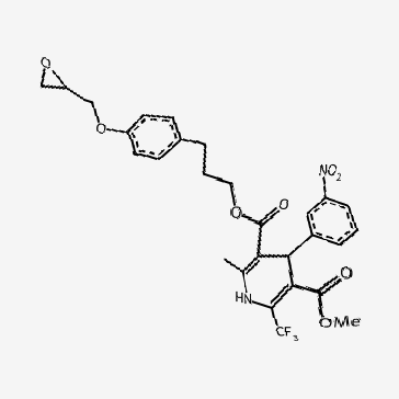 COC(=O)C1=C(C(F)(F)F)NC(C)=C(C(=O)OCCCc2ccc(OCC3CO3)cc2)C1c1cccc([N+](=O)[O-])c1